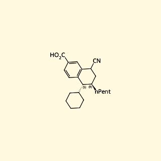 CCCCC[C@@H]1CC(C#N)c2cc(C(=O)O)ccc2[C@H]1C1CCCCC1